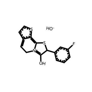 OC1=[N+]2CC=c3ccsc3=C2SC1c1cccc(F)c1.[OH-]